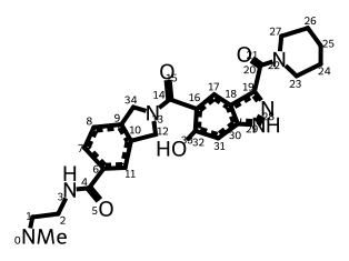 CNCCNC(=O)c1ccc2c(c1)CN(C(=O)c1cc3c(C(=O)N4CCCCC4)n[nH]c3cc1O)C2